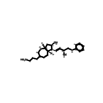 O=C(O)CCCC1CC[C@@H]2[C@@H](C=C[C@@H](O)COc3ccccc3)[C@H](O)C[C@H]2OC1